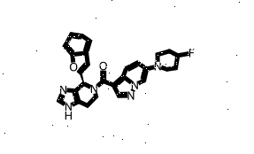 O=C(c1cnn2cc(N3CCC(F)CC3)ccc12)N1CCc2[nH]cnc2[C@H]1c1cc2ccccc2o1